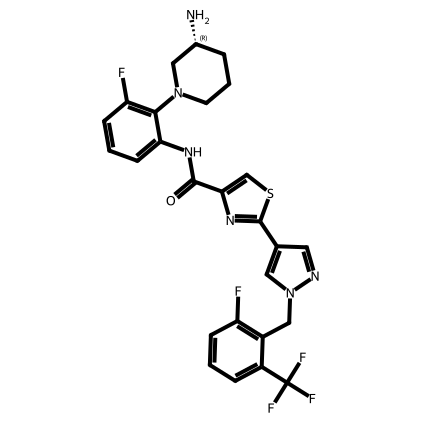 N[C@@H]1CCCN(c2c(F)cccc2NC(=O)c2csc(-c3cnn(Cc4c(F)cccc4C(F)(F)F)c3)n2)C1